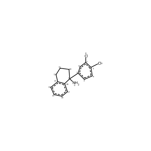 NC1(c2ccc(Cl)c(Cl)c2)CCCc2ccccc21